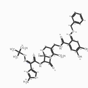 CC(C)(O/N=C(\C(=O)NC1C(=O)N2C(C(=O)O)=C(CNC(=O)C3=CC(O)=C(O)CC3=NOCc3ccccc3)CS[C@@H]12)c1csc(N)n1)C(=O)O